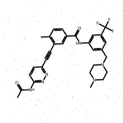 CC(=O)Nc1ccc(C#Cc2cc(C(=O)Nc3cc(CN4CCN(C)CC4)cc(C(F)(F)F)c3)ccc2C)nn1